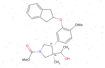 COC(=O)N1C[C@H](c2ccc(OC)c(OC3Cc4ccccc4C3)c2)[C@@](C)(C(C)O)C1